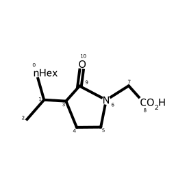 CCCCCCC(C)C1CCN(CC(=O)O)C1=O